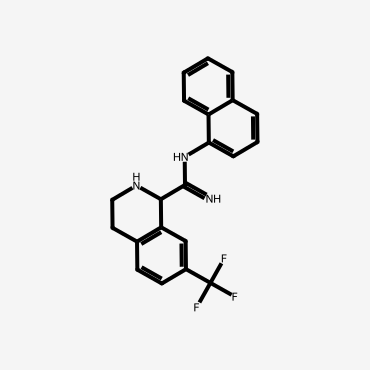 N=C(Nc1cccc2ccccc12)C1NCCc2ccc(C(F)(F)F)cc21